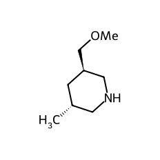 COC[C@H]1CNC[C@H](C)C1